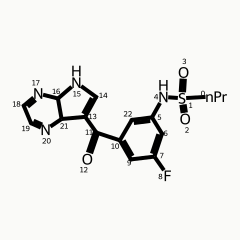 CCCS(=O)(=O)Nc1cc(F)cc(C(=O)C2=CNC3N=CC=NC23)c1